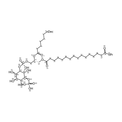 CCCCCCCCCCCCCCCC(=O)O[C@H](COC(=O)CCCCCCCCCCCCCSC(=O)CCC)COP(=O)(O)OC1C(O)[C@@H](OP(=O)(O)O)C(O)[C@@H](O)[C@H]1O